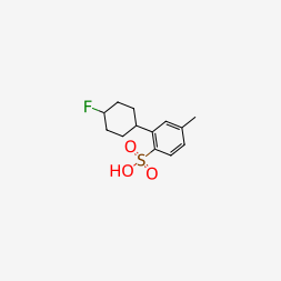 Cc1ccc(S(=O)(=O)O)c(C2CCC(F)CC2)c1